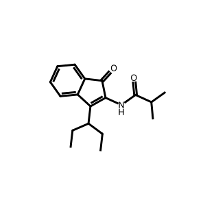 CCC(CC)C1=C(NC(=O)C(C)C)C(=O)c2ccccc21